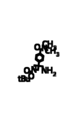 CN(C)C(=O)c1ccc(C2(CN)CN(C(=O)OC(C)(C)C)C2)cc1